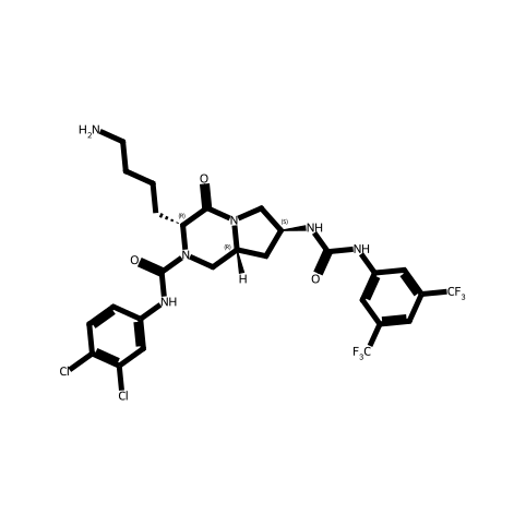 NCCCC[C@@H]1C(=O)N2C[C@@H](NC(=O)Nc3cc(C(F)(F)F)cc(C(F)(F)F)c3)C[C@@H]2CN1C(=O)Nc1ccc(Cl)c(Cl)c1